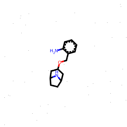 Nc1ccccc1COC1CC2CCC(C1)N2